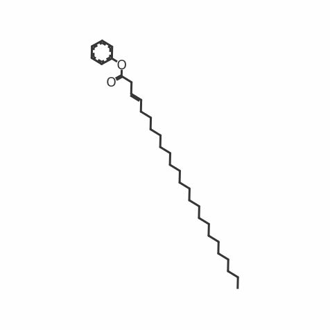 CCCCCCCCCCCCCCCCCCCCCC=CCC(=O)Oc1ccccc1